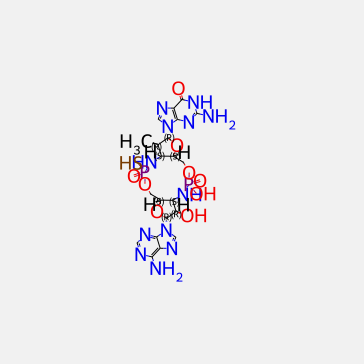 C[C@@H]1[C@@H]2NP(=O)(S)OC[C@H]3O[C@@H](n4cnc5c(N)ncnc54)[C@H](O)[C@@H]3NP(=O)(O)OC[C@H]2O[C@H]1n1cnc2c(=O)[nH]c(N)nc21